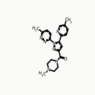 Cc1ccc(-c2cc(C(=O)N3CCN(C)CC3)nn2-c2ccc(C)nn2)nc1